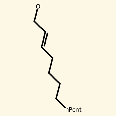 CCCCCCCCCC=CC[O]